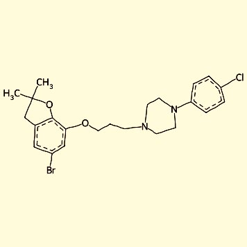 CC1(C)Cc2cc(Br)cc(OCCCN3CCN(c4ccc(Cl)cc4)CC3)c2O1